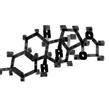 CC1=CCC2=C(CC[C@@H]3[C@@H]2CC[C@@]2(C)[C@H]3CCC23OCCO3)C1